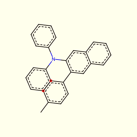 Cc1ccc(-c2cc3ccccc3cc2N(c2ccccc2)c2ccccc2)cc1